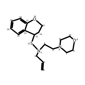 C=CCN(CCN1CCOCC1)SC1CCOc2ccccc21